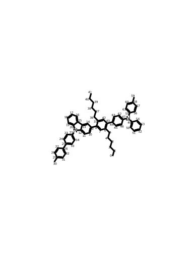 CCCCCCc1cc(-c2ccc3c(c2)c2ccccc2n3-c2ccc(-c3ccc(C)cc3)cc2)c(CCCCCC)cc1-c1ccc(N(c2ccccc2)c2ccc(C)cc2)cc1